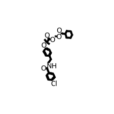 CC(C)(Oc1ccc(CCNC(=O)c2ccc(Cl)cc2)cc1)C(=O)OCOC(=O)C1CCCCC1